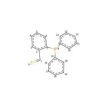 S=Cc1ccccc1P(c1ccccc1)c1ccccc1